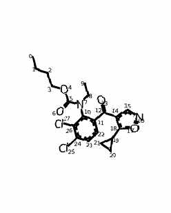 CCCCOC(=O)N(CC)c1c(C(=O)c2cnoc2C2CC2)ccc(Cl)c1Cl